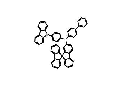 c1ccc(-c2ccc(N(c3ccc(-n4c5ccccc5c5ccccc54)cc3)c3ccc4c(c3)C3(c5ccccc5-c5ccccc53)c3ccccc3-4)cc2)cc1